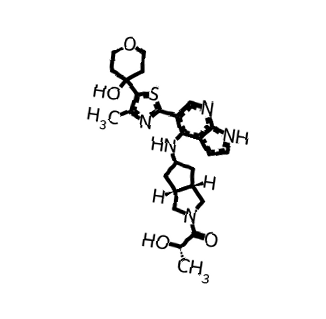 Cc1nc(-c2cnc3[nH]ccc3c2NC2C[C@@H]3CN(C(=O)[C@H](C)O)C[C@@H]3C2)sc1C1(O)CCOCC1